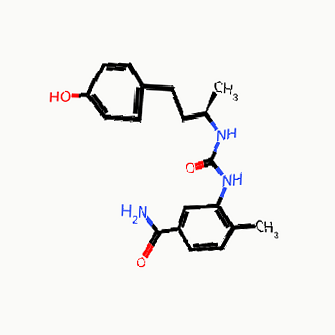 Cc1ccc(C(N)=O)cc1NC(=O)N[C@H](C)CCc1ccc(O)cc1